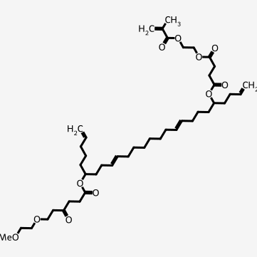 C=CCCCC(CCC=CCCCCCCC=CCCCC(CCC=C)OC(=O)CCC(=O)OCCOC(=O)C(=C)C)OC(=O)CCC(=O)CCOCCOC